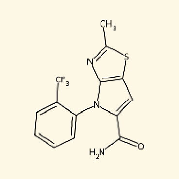 Cc1nc2c(cc(C(N)=O)n2-c2ccccc2C(F)(F)F)s1